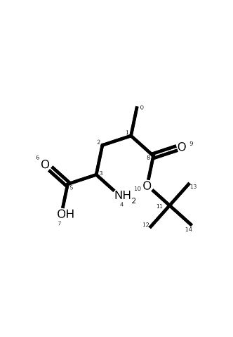 CC(CC(N)C(=O)O)C(=O)OC(C)(C)C